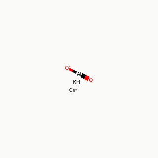 [Cs+].[KH].[O]=[Al][O-]